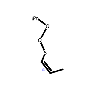 C/C=C\SOOC(C)C